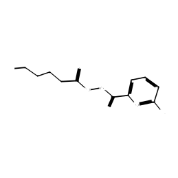 O=C(CCCCF)NNC(=O)c1cccc(Br)n1